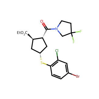 CCOC(=O)[C@@H]1C[C@@H](Sc2ccc(Br)cc2Cl)C[C@H]1C(=O)N1CCC(F)(F)C1